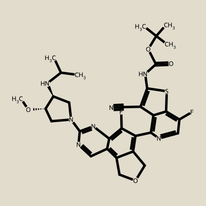 CO[C@H]1CN(c2ncc3c4c(c(-c5ncc(F)c6sc(NC(=O)OC(C)(C)C)c(C#N)c56)c(F)c3n2)COC4)C[C@@H]1NC(C)C